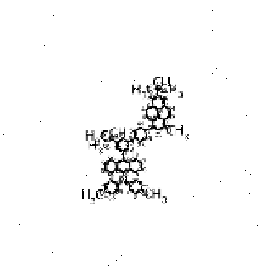 Cc1ccc(N(c2ccc(C)cc2)c2c3ccccc3c(-c3cc(-c4ccc(-c5cc(C)c6ccc7cc(C(C)(C)C)cc8ccc5c6c78)cc4)cc(C(C)(C)C)c3)c3ccccc23)cc1